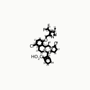 C[C@H]([C@@H]1c2c(OCc3nnn(C)c3C(F)F)ccc(Cl)c2CCN1C(=O)C1C2CCC(C2)C1C(=O)O)N1CCCC1=O